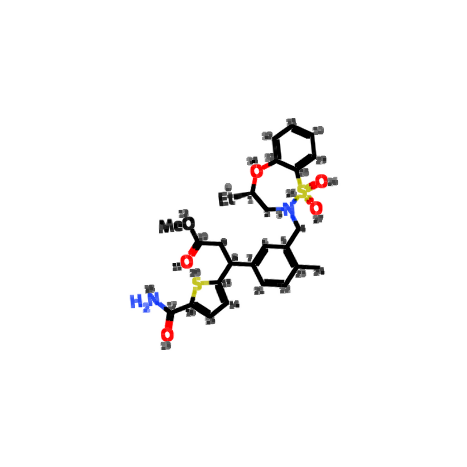 CC[C@@H]1CN(Cc2cc(C(CC(=O)OC)c3ccc(C(N)=O)s3)ccc2C)S(=O)(=O)c2ccccc2O1